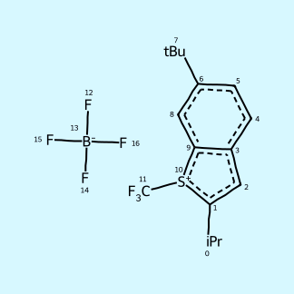 CC(C)c1cc2ccc(C(C)(C)C)cc2[s+]1C(F)(F)F.F[B-](F)(F)F